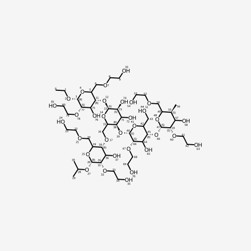 CCO[C@@H]1OC(COCCO)[C@H](O[C@@H]2OC(CO[C@H]3C(COCCO)O[C@@H](OC(C)C)[C@@H](OCCO)C3O)[C@H](O[C@@H]3OC(CO)[C@H](O[C@@H]4OC(COCCO)[C@@H](C)C(O)[C@@H]4OCCO)C(O)[C@@H]3OCCO)C(O)[C@@H]2O)C(O)[C@@H]1OCCO